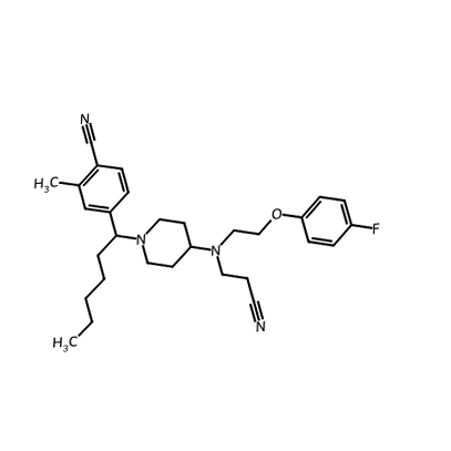 CCCCCC(c1ccc(C#N)c(C)c1)N1CCC(N(CCC#N)CCOc2ccc(F)cc2)CC1